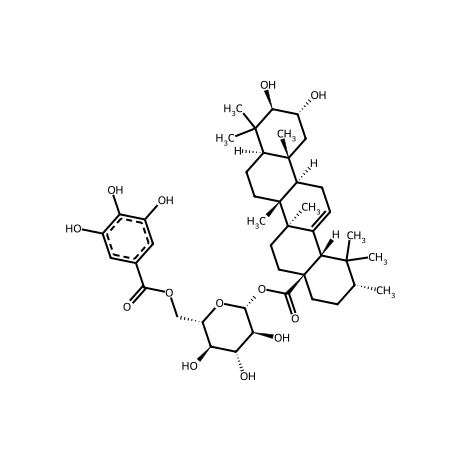 C[C@@H]1CC[C@]2(C(=O)O[C@H]3O[C@@H](COC(=O)c4cc(O)c(O)c(O)c4)[C@H](O)[C@@H](O)[C@@H]3O)CC[C@]3(C)C(=CC[C@@H]4[C@@]5(C)C[C@@H](O)[C@H](O)C(C)(C)[C@@H]5CC[C@]43C)[C@@H]2C1(C)C